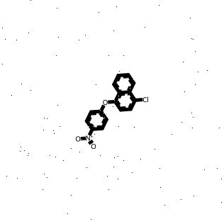 O=[N+]([O-])c1ccc(Oc2ccc(Cl)c3ccccc23)cc1